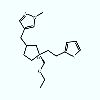 CCOC[C@@]1(CCc2cccs2)CCC(Cc2cnn(C)c2)C1